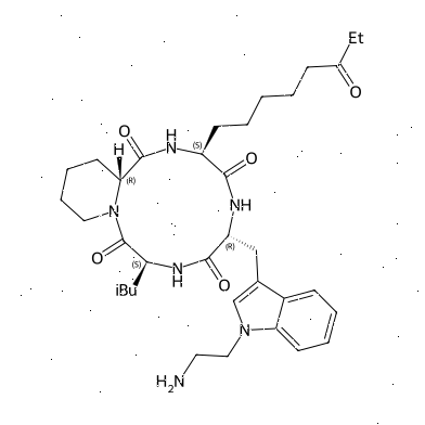 CCC(=O)CCCCC[C@@H]1NC(=O)[C@H]2CCCCN2C(=O)[C@H](C(C)CC)NC(=O)[C@@H](Cc2cn(CCN)c3ccccc23)NC1=O